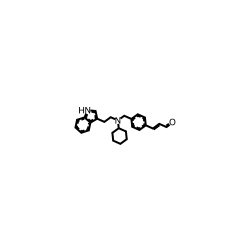 O=C/C=C/c1ccc(CN(CCc2c[nH]c3ccccc23)C2CCCCC2)cc1